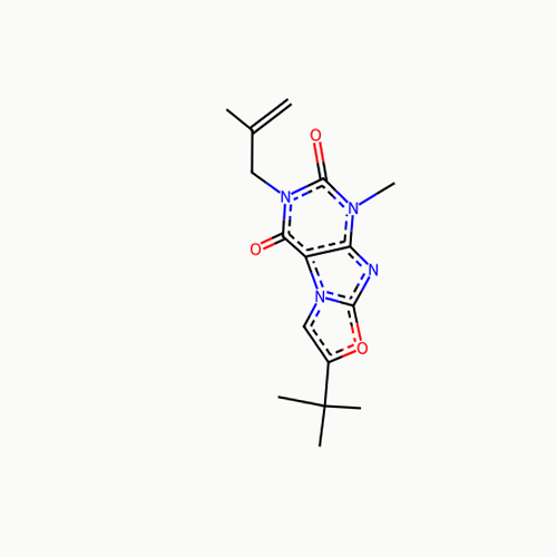 C=C(C)Cn1c(=O)c2c(nc3oc(C(C)(C)C)cn32)n(C)c1=O